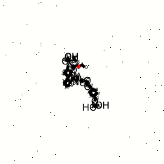 CCCCC(=O)N(Cc1ccc(-c2ccccc2-c2nnn(COC(=O)OCc3ccc(CON(O)O)cc3)n2)cc1)[C@H](C(=O)O)C(C)C